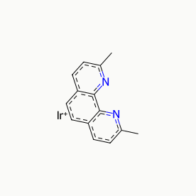 Cc1ccc2ccc3ccc(C)nc3c2n1.[Ir+]